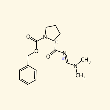 CN(C)/C=N/C(=O)[C@H]1CCCN1C(=O)OCc1ccccc1